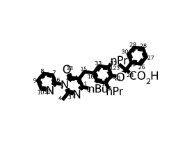 CCCCc1nc(C)n(-c2ccccn2)c(=O)c1Cc1cc(CCC)c(OC(C)(C(=O)O)c2ccccc2)c(CCC)c1